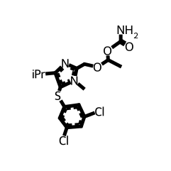 CC(OCc1nc(C(C)C)c(Sc2cc(Cl)cc(Cl)c2)n1C)OC(N)=O